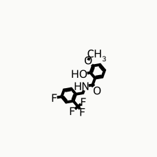 COc1cccc(C(=O)NCc2ccc(F)cc2C(F)(F)F)c1O